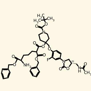 CC(=O)NC[C@H]1CN(c2ccc(OCC3(OC(=O)C(CCCC(N)C(=O)OCc4ccccc4)C(=O)OCc4ccccc4)CCN(C(=O)OC(C)(C)C)CC3)c(F)c2)C(=O)O1